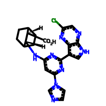 O=C(O)[C@@H]1C2CCC(CC2)[C@H]1Nc1cc(-n2ccnc2)nc(-c2c[nH]c3ncc(Cl)nc23)n1